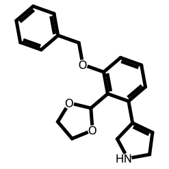 C1=C(c2cccc(OCc3ccccc3)c2C2OCCO2)CNC1